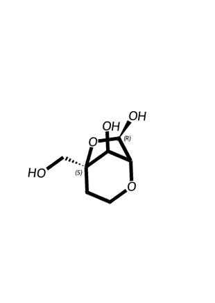 OC[C@@]12CCOC(C1O)[C@H](O)O2